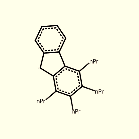 CCCc1c2c(c(CCC)c(CCC)c1CCC)-c1ccccc1[CH]2